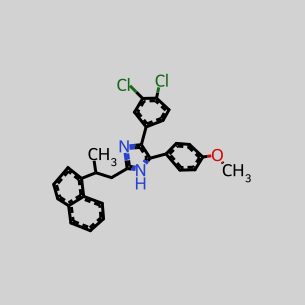 COc1ccc(-c2[nH]c(CC(C)c3cccc4ccccc34)nc2-c2ccc(Cl)c(Cl)c2)cc1